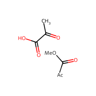 CC(=O)C(=O)O.COC(=O)C(C)=O